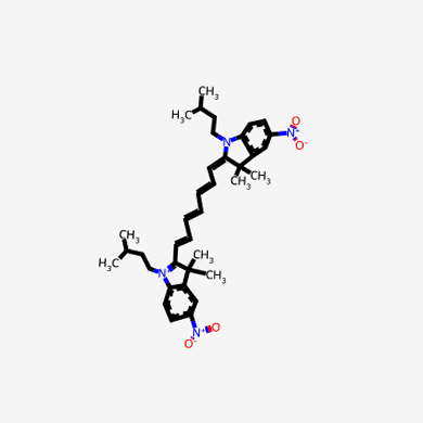 CC(C)CCN1/C(=C/C=C/C=C/C=C/C2=[N+](CCC(C)C)c3ccc([N+](=O)[O-])cc3C2(C)C)C(C)(C)c2cc([N+](=O)[O-])ccc21